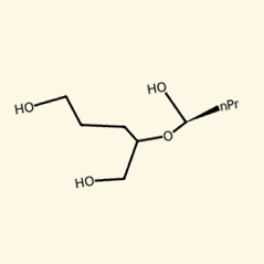 CCC[C@H](O)OC(CO)CCCO